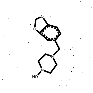 ON1CCN(Cc2ccc3c(c2)OCO3)CC1